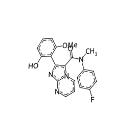 COc1cccc(O)c1-c1nc2ncccn2c1C(=O)N(C)c1ccc(F)cc1